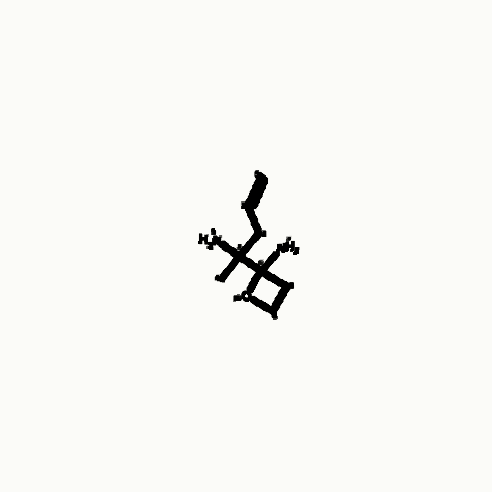 C=CCC(C)(N)C1(N)CCO1